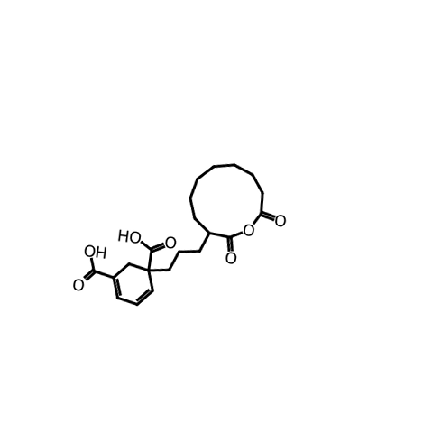 O=C1CCCCCCCC(CCCC2(C(=O)O)C=CC=C(C(=O)O)C2)C(=O)O1